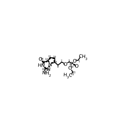 CCOP(=O)(COCCc1ccc2c(=O)[nH]c(N)nn12)OCC